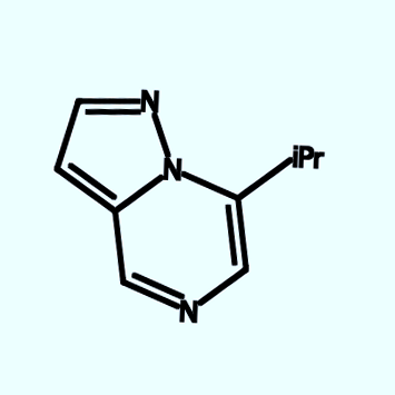 CC(C)c1cncc2ccnn12